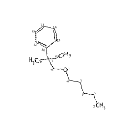 CCCCCOCC(C)(C)c1ccccc1